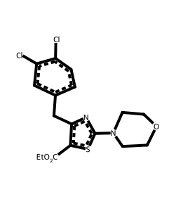 CCOC(=O)c1sc(N2CCOCC2)nc1Cc1ccc(Cl)c(Cl)c1